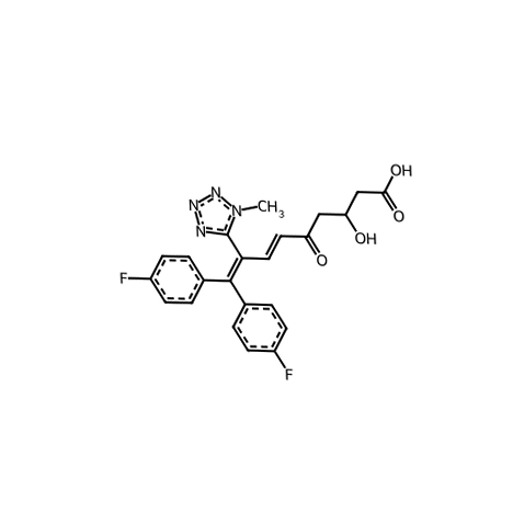 Cn1nnnc1C(/C=C/C(=O)CC(O)CC(=O)O)=C(c1ccc(F)cc1)c1ccc(F)cc1